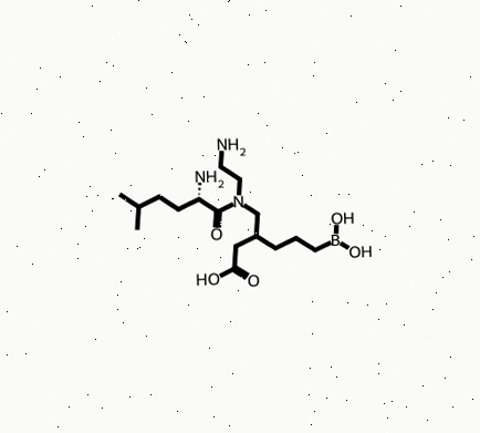 CC(C)CC[C@H](N)C(=O)N(CCN)CC(CCCB(O)O)CC(=O)O